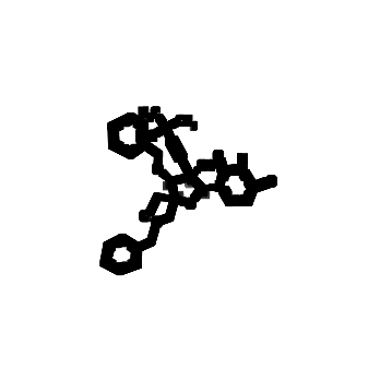 C[Si](C)(C)C#C[C@]1(O)[C@H](OCc2ccccc2)[C@@](CCl)(COCc2ccccc2)O[C@H]1n1ccc(=O)[nH]c1=O